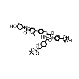 Cc1nc(C(=O)NC2CCC(O)CC2)ccc1-c1ccc(C[C@H](NC(=O)C2CCC(CNC(=O)OC(C)(C)C)CC2)C(=O)Nc2ccc(-c3nn[nH]n3)cc2)cc1